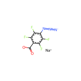 [N-]=[N+]=Nc1c(F)c(F)c(C(=O)[O-])c(F)c1F.[Na+]